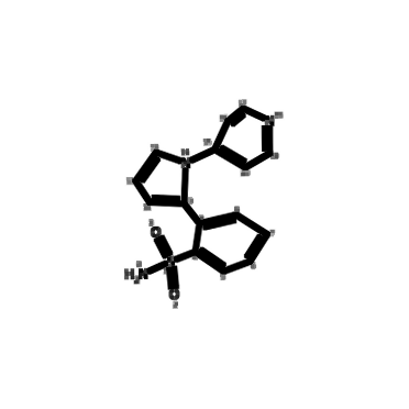 NS(=O)(=O)c1ccccc1-c1cccn1-c1ccncc1